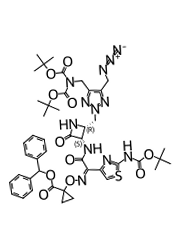 CC(C)(C)OC(=O)Nc1nc(C(=NOC2(C(=O)OC(c3ccccc3)c3ccccc3)CC2)C(=O)N[C@@H]2C(=O)N[C@@H]2Cn2nc(CN=[N+]=[N-])c(CN(C(=O)OC(C)(C)C)C(=O)OC(C)(C)C)n2)cs1